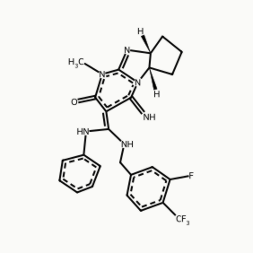 Cn1c(=O)/c(=C(/NCc2ccc(C(F)(F)F)c(F)c2)Nc2ccccc2)c(=N)n2c1=N[C@@H]1CCC[C@@H]12